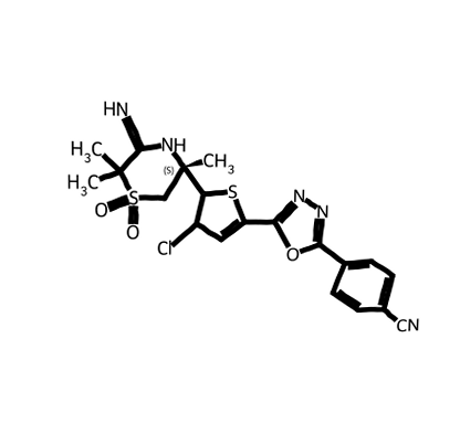 CC1(C)C(=N)N[C@](C)(C2SC(c3nnc(-c4ccc(C#N)cc4)o3)=CC2Cl)CS1(=O)=O